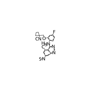 Cc1cc(N=S)cc2ncnc(Nc3ccc(F)cc3OCC3(C#N)CCC3)c12